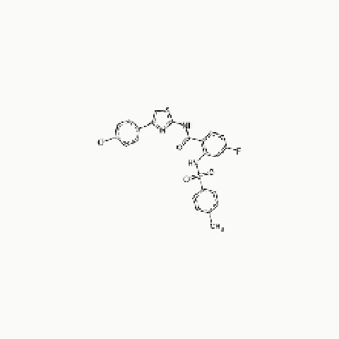 Cc1ccc(S(=O)(=O)Nc2cc(F)ccc2C(=O)Nc2nc(-c3ccc(Cl)cc3)cs2)cc1